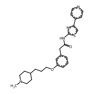 CN1CCC(CCCOc2cccc(CC(=O)Nc3nc(-c4ccncc4)cs3)c2)CC1